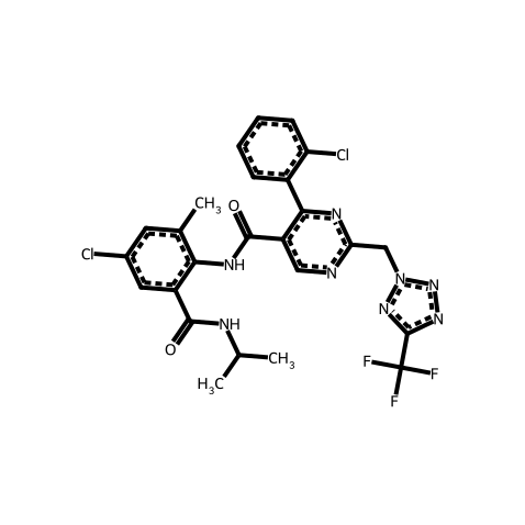 Cc1cc(Cl)cc(C(=O)NC(C)C)c1NC(=O)c1cnc(Cn2nnc(C(F)(F)F)n2)nc1-c1ccccc1Cl